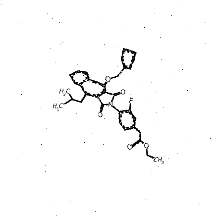 CCOC(=O)Cc1ccc(N2C(=O)c3c(c(OCc4ccccc4)c4ccccc4c3CC(C)C)C2=O)c(F)c1